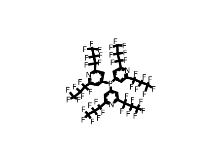 FC(F)(F)C(F)(F)C(F)(F)c1cc(P(c2cc(C(F)(F)C(F)(F)C(F)(F)F)nc(C(F)(F)C(F)(F)C(F)(F)F)c2)c2cc(C(F)(F)C(F)(F)C(F)(F)F)nc(C(F)(F)C(F)(F)C(F)(F)F)c2)cc(C(F)(F)C(F)(F)C(F)(F)F)n1